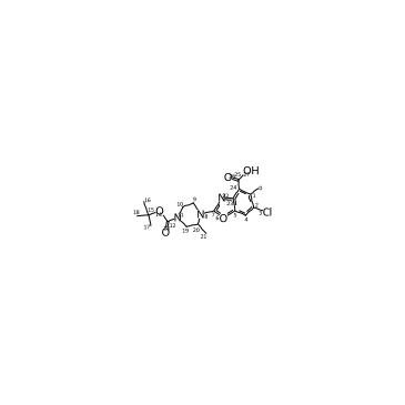 Cc1c(Cl)cc2oc(N3CCN(C(=O)OC(C)(C)C)CC3C)nc2c1C(=O)O